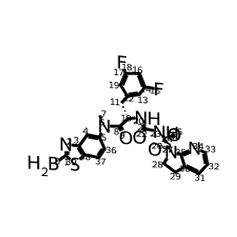 Bc1nc2cc(N(C)C(=O)[C@H](Cc3cc(F)cc(F)c3)NC(=O)NS(=O)(=O)N3CCc4cccnc43)ccc2s1